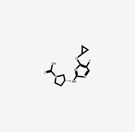 O=C(O)N1CC[C@@H](Nc2ncc(F)c(OC3CC3)n2)C1